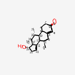 C[C@@H]1CC2=CC(=O)CCC2C2C1C1=CC[C@H](O)[C@@]1(C)C[C@@H]2C